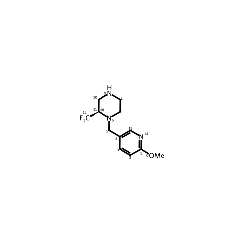 COc1ccc(CN2CCNC[C@@H]2C(F)(F)F)cn1